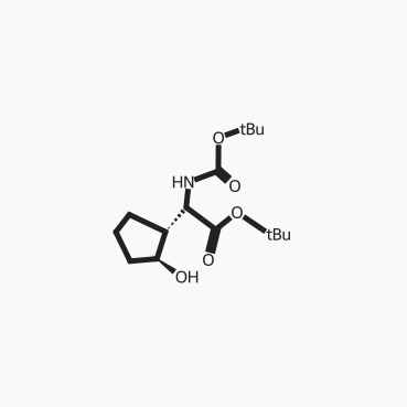 CC(C)(C)OC(=O)NC(C(=O)OC(C)(C)C)[C@H]1CCC[C@@H]1O